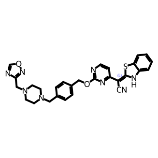 N#C/C(=C1\Nc2ccccc2S1)c1ccnc(OCc2ccc(CN3CCN(Cc4ncon4)CC3)cc2)n1